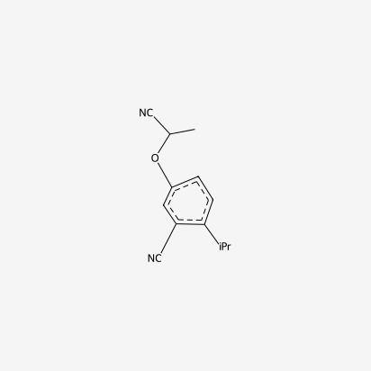 CC(C#N)Oc1ccc(C(C)C)c(C#N)c1